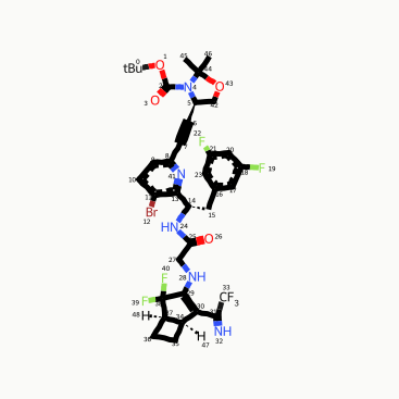 CC(C)(C)OC(=O)N1[C@H](C#Cc2ccc(Br)c([C@H](Cc3cc(F)cc(F)c3)NC(=O)CNC3=C(C(=N)C(F)(F)F)[C@H]4CC[C@H]4C3(F)F)n2)COC1(C)C